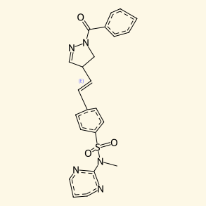 CN(c1ncccn1)S(=O)(=O)c1ccc(/C=C/C2C=NN(C(=O)c3ccccc3)C2)cc1